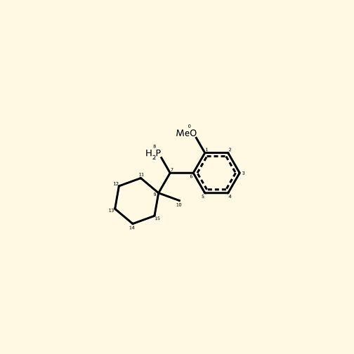 COc1ccccc1C(P)C1(C)CCCCC1